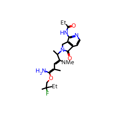 CCC(=O)Nc1nccc2c1CN(C(C)/C(=C/C(C)=C(\N)OCC(C)(F)CC)NC)C2=O